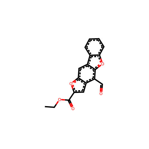 CCOC(=O)c1cc2c(C=O)c3oc4ccccc4c3cc2o1